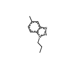 CCCn1nnc2cc(C)ccc21